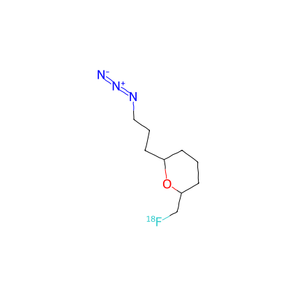 [N-]=[N+]=NCCCC1CCCC(C[18F])O1